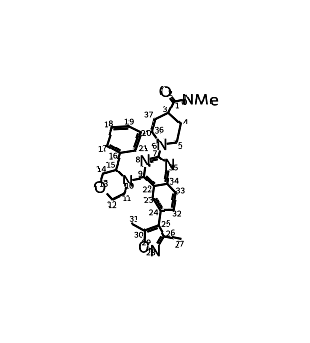 CNC(=O)C1CCN(c2nc(N3CCOCC3c3ccccc3)c3cc(-c4c(C)noc4C)ccc3n2)CC1